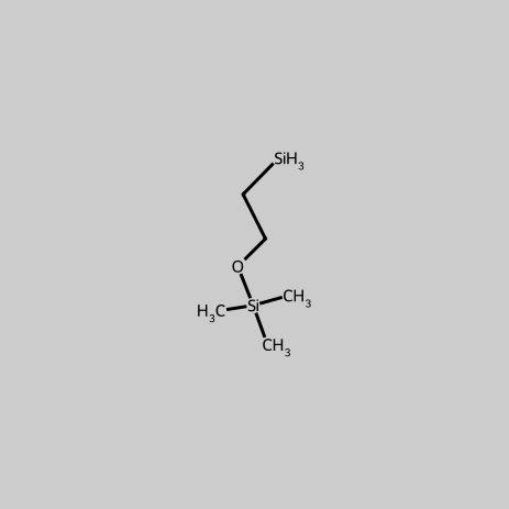 C[Si](C)(C)OCC[SiH3]